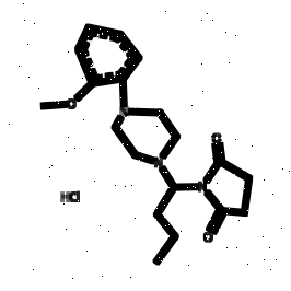 CCCC(N1CCN(c2ccccc2OC)CC1)N1C(=O)CCC1=O.Cl